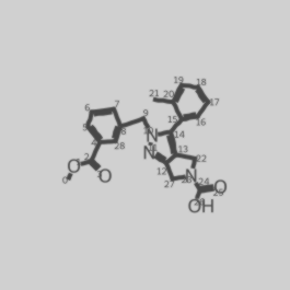 COC(=O)c1cccc(Cn2nc3c(c2-c2ccccc2C)CN(C(=O)O)C3)c1